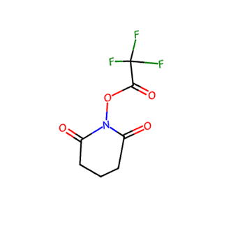 O=C1CCCC(=O)N1OC(=O)C(F)(F)F